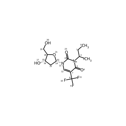 CCC(C)n1c(=O)c(C(F)(F)F)cn([C@@H]2C[C@H](O)C(CO)O2)c1=O